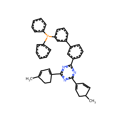 CC1=CC=C(c2nc(C3=CCC(C)C=C3)nc(-c3cccc(-c4cccc(P(c5ccccc5)c5ccccc5)c4)c3)n2)CC1